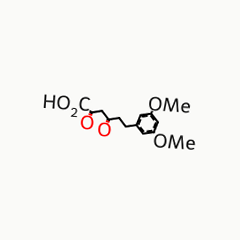 COc1cc(CCC(=O)CC(=O)C(=O)O)cc(OC)c1